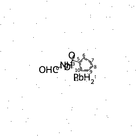 O=CNOC(=O)c1ccccc1.[PbH2]